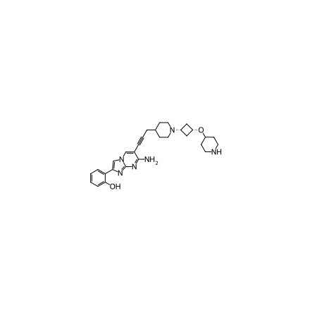 Nc1nc2nc(-c3ccccc3O)cn2cc1C#CCC1CCN([C@H]2C[C@@H](OC3CCNCC3)C2)CC1